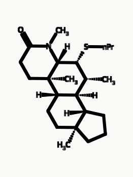 CCCS[C@@H]1[C@H](C)[C@H]2[C@@H]3CCC[C@@]3(C)CC[C@@H]2[C@@]2(C)CCC(=O)N(C)[C@H]12